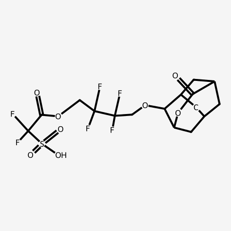 O=C1OC2CC3CC1CC(C3)C2OCC(F)(F)C(F)(F)COC(=O)C(F)(F)S(=O)(=O)O